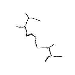 CC(C)N(C)CCCN(C)C(C)C